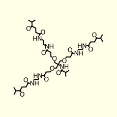 CC(C)C(=O)CCC(=O)NCCNC(=O)CCOCC(COCCC(=O)NCCNC(=O)CCC(=O)C(C)C)(COCCC(=O)NCCNC(=O)CCC(=O)C(C)C)NC(=O)C(C)C